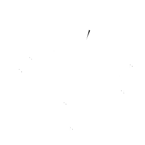 CCc1ncn2c1-c1cnc(N)c(c1)O[C@H](C)c1cc(C)ccc1-c1nn(C)cc1C2